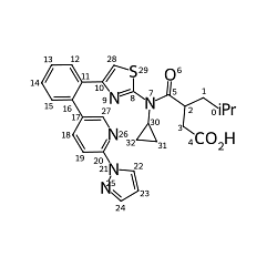 CC(C)CC(CC(=O)O)C(=O)N(c1nc(-c2ccccc2-c2ccc(-n3cccn3)nc2)cs1)C1CC1